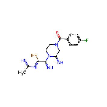 CC(=N)/N=C(\S)C(=N)N1CCN(C(=O)c2ccc(F)cc2)CC1=N